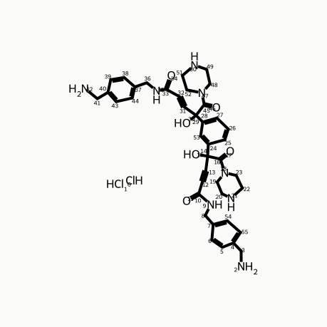 Cl.Cl.NCc1ccc(CNC(=O)C#CC(O)(C(=O)N2CCNCC2)c2cccc(C(O)(C#CC(=O)NCc3ccc(CN)cc3)C(=O)N3CCNCC3)c2)cc1